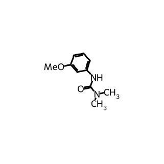 COc1cccc(NC(=O)N(C)C)c1